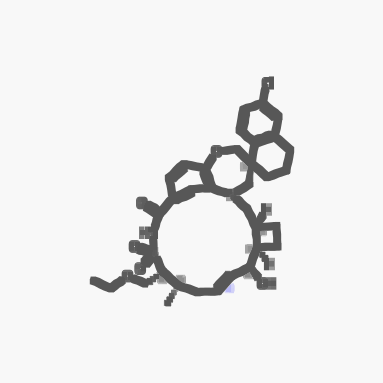 CCOC[C@H]1[C@@H](C)C/C=C/[C@H](O)[C@@H]2CC[C@H]2CN2C[C@@]3(CCCc4cc(Cl)ccc43)COc3ccc(cc32)C(=O)NS1(=O)=O